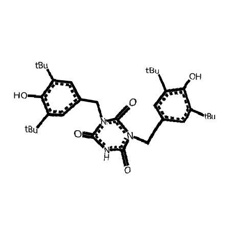 CC(C)(C)c1cc(Cn2c(=O)[nH]c(=O)n(Cc3cc(C(C)(C)C)c(O)c(C(C)(C)C)c3)c2=O)cc(C(C)(C)C)c1O